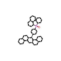 O=P(c1ccccc1)(c1ccc(-c2c3ccc4ccccc4c3cc3ccc4ccccc4c23)cc1)c1cccc2ccccc12